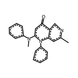 Cc1cc2c(cn1)c(=O)cc(N(C)c1ccccc1)n2-c1ccccc1